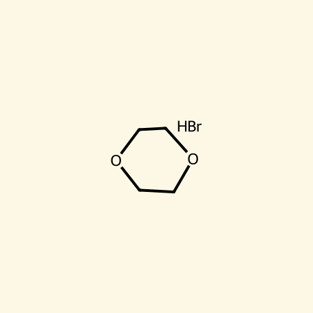 Br.C1COCCO1